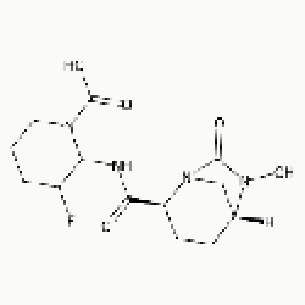 O=C(NC1C(F)CCCN1C(=O)O)[C@@H]1CC[C@@H]2CN1C(=O)N2O